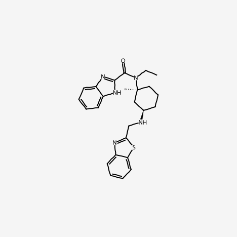 CCN(C(=O)c1nc2ccccc2[nH]1)[C@@]1(C)CCC[C@@H](NCc2nc3ccccc3s2)C1